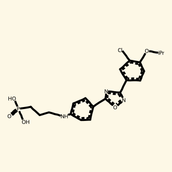 CC(C)Oc1ccc(-c2noc(-c3ccc(NCCCP(=O)(O)O)cc3)n2)cc1Cl